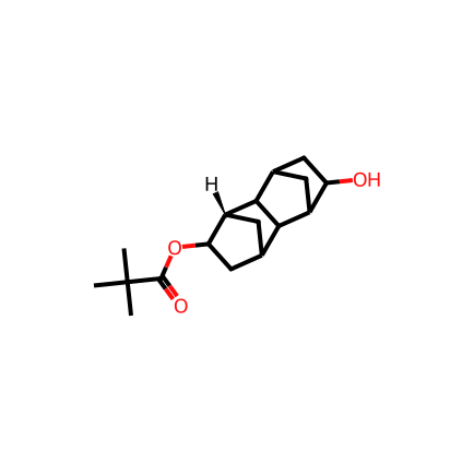 CC(C)(C)C(=O)OC1CC2C[C@H]1C1C3CC(O)C(C3)C21